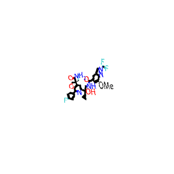 COc1cc(C(=O)NCC(O)(c2cc3c(c(-c4ccc(F)cc4)n2)OC[C@@]3(CF)C(N)=O)C2CC2)cc2cn(C(F)F)nc12